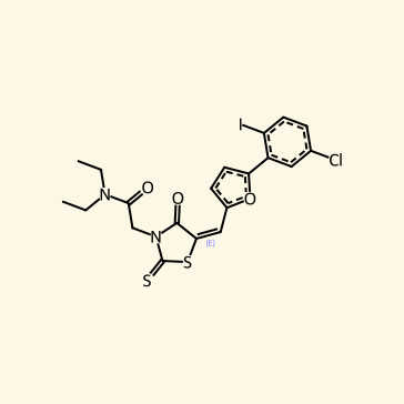 CCN(CC)C(=O)CN1C(=O)/C(=C\c2ccc(-c3cc(Cl)ccc3I)o2)SC1=S